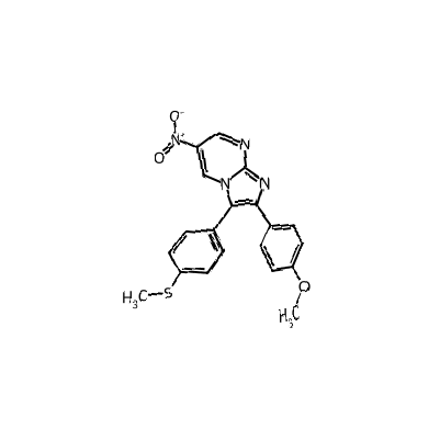 COc1ccc(-c2nc3ncc([N+](=O)[O-])cn3c2-c2ccc(SC)cc2)cc1